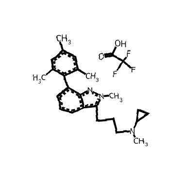 Cc1cc(C)c(-c2cccc3c(CCCN(C)C4CC4)n(C)nc23)c(C)c1.O=C(O)C(F)(F)F